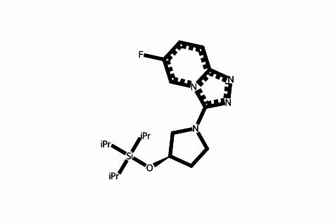 CC(C)[Si](O[C@@H]1CCN(c2nnc3ccc(F)cn23)C1)(C(C)C)C(C)C